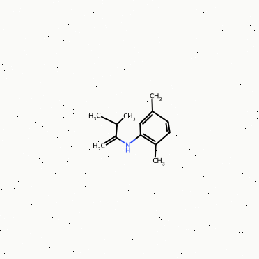 C=C(Nc1cc(C)ccc1C)C(C)C